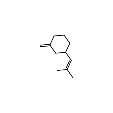 C=C1CCCC(C=C(C)C)C1